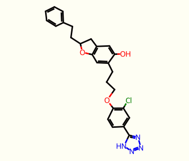 Oc1cc2c(cc1CCCOc1ccc(-c3nnn[nH]3)cc1Cl)OC(CCc1ccccc1)C2